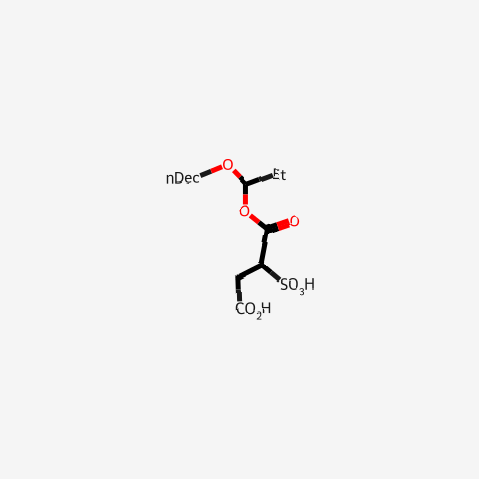 CCCCCCCCCCOC(CC)OC(=O)C(CC(=O)O)S(=O)(=O)O